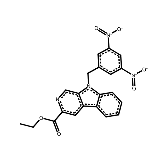 CCOC(=O)c1cc2c3ccccc3n(Cc3cc([N+](=O)[O-])cc([N+](=O)[O-])c3)c2cn1